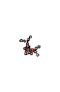 c1ccc(-c2cc3c4c(c2)N(c2c(-c5ccccc5)cccc2-c2ccccc2)c2cc(-n5c6ccc(C7CCCCC7)cc6c6cc(C7CCCCC7)ccc65)ccc2B4c2ccc(-c4ccc(N(c5ccc(C6CCCCC6)cc5)c5ccc(C6CCCCC6)cc5)cc4)cc2N3c2c(-c3ccccc3)cccc2-c2ccccc2)cc1